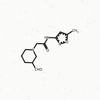 Cc1cc(NC(=O)CN2CCCC(C=O)C2)no1